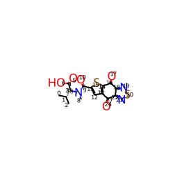 CC(C)[C@H](C(=O)O)N(C)C(=O)c1cc2c(s1)C(=O)c1nsnc1C2=O